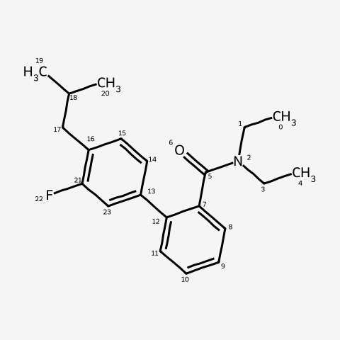 CCN(CC)C(=O)c1ccccc1-c1ccc(CC(C)C)c(F)c1